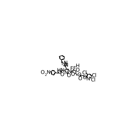 O=C(COc1nc(Cl)c(Cl)cc1Cl)OCC1O[C@@H](n2cc(-c3cn(Cc4ccccc4)nn3)c(NC(=O)OCc3ccc([N+](=O)[O-])cc3)nc2=O)C(F)(F)C1O